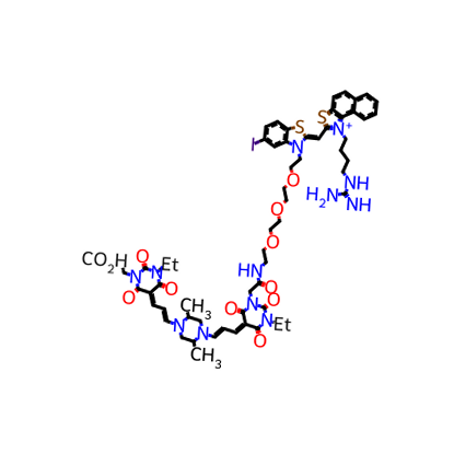 CCN1C(=O)C(=CC=CN2CC(C)N(C=CC=C3C(=O)N(CC)C(=O)N(CC(=O)NCCOCCOCCOCCN4C(=Cc5sc6ccc7ccccc7c6[n+]5CCCCNC(=N)N)Sc5ccc(I)cc54)C3=O)CC2C)C(=O)N(CC(=O)O)C1=O